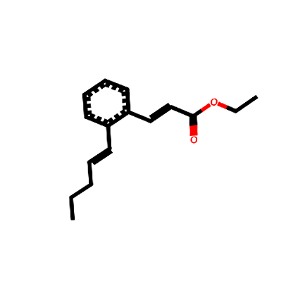 CCCC=Cc1ccccc1C=CC(=O)OCC